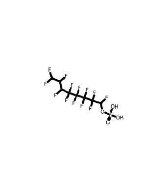 O=P(O)(O)OC(F)C(F)(F)C(F)(F)C(F)(F)C(F)(F)C(F)C(F)C(F)F